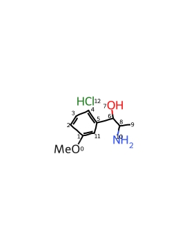 COc1cccc(C(O)C(C)N)c1.Cl